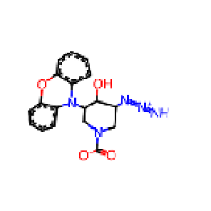 N=[N+]=NC1CN(C(=O)[O-])CC(N2c3ccccc3Oc3ccccc32)C1O